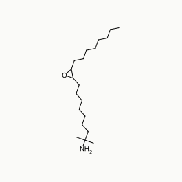 CCCCCCCCC1OC1CCCCCCCC(C)(C)N